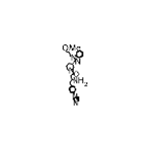 COCCCn1c([C@@H]2CCCN(C(=O)C[C@H](N)Cc3ccc(-n4ccnc4)cc3)C2)nc2ccccc21